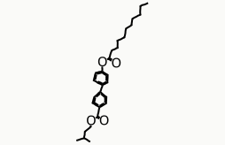 CCCCCCCCCCC(=O)Oc1ccc(-c2ccc(C(=O)OCCC(C)C)cc2)cc1